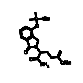 C=C(CCC(C(N)=O)N1Cc2c(O[Si](C)(C)C(C)(C)C)cccc2C1=O)OC